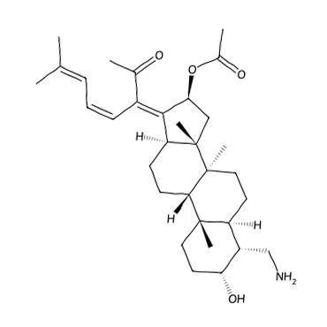 CC(=O)O[C@H]1C[C@@]2(C)[C@@H](CC[C@H]3[C@@]4(C)CC[C@@H](O)[C@@H](CN)[C@@H]4CC[C@@]32C)/C1=C(\C=C/C=C(C)C)C(C)=O